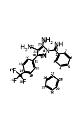 N=C(c1ccccc1)n1nc(-c2ccc(C(F)(F)F)cc2)c(N)c1N.c1ccccc1